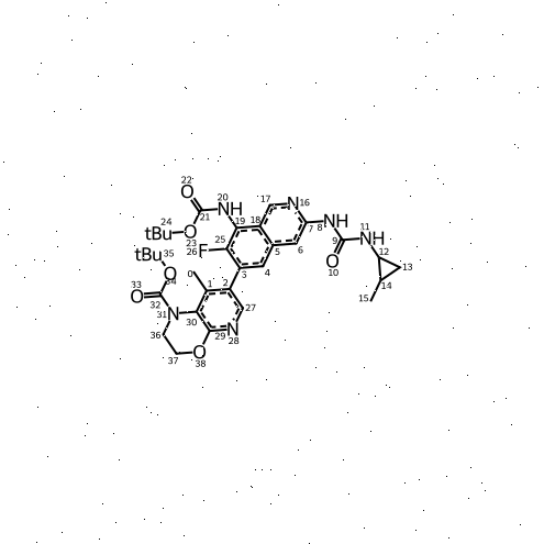 Cc1c(-c2cc3cc(NC(=O)NC4CC4C)ncc3c(NC(=O)OC(C)(C)C)c2F)cnc2c1N(C(=O)OC(C)(C)C)CCO2